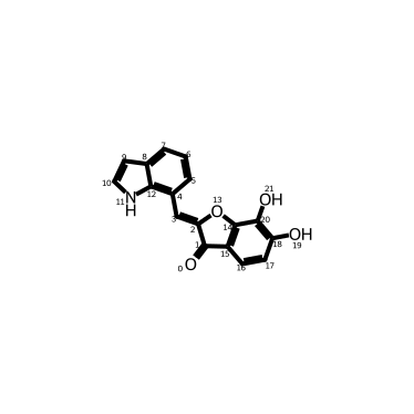 O=C1C(=Cc2cccc3cc[nH]c23)Oc2c1ccc(O)c2O